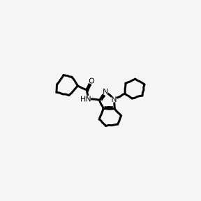 O=C(Nc1nn(C2CCCCC2)c2c1CCCC2)C1CCCCC1